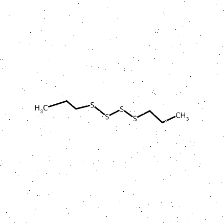 CCCSSSSCCC